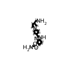 NCc1ccn(-c2ccc(-c3nc4c(OC(N)=O)cccc4[nH]3)cc2)c1